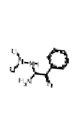 NC([NH][Pt]([Cl])[Cl])C(=O)c1ccccc1